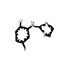 Fc1ccc(Cl)c(Nc2nccs2)c1